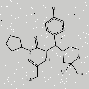 CC1(C)CC(C(c2ccc(Cl)cc2)C(NC(=O)CN)C(=O)NC2CCCC2)CCO1